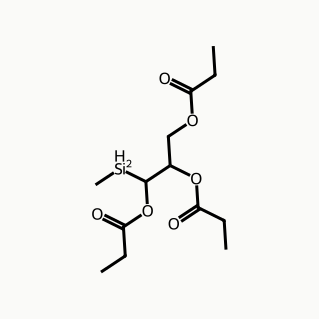 CCC(=O)OCC(OC(=O)CC)C(OC(=O)CC)[SiH2]C